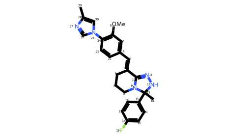 COc1cc(/C=C2\CCCN3C2=NNC3(C)c2ccc(F)cc2)ccc1-n1cnc(C)c1